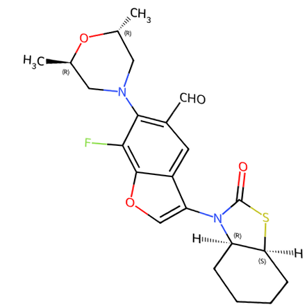 C[C@@H]1CN(c2c(C=O)cc3c(N4C(=O)S[C@H]5CCCC[C@H]54)coc3c2F)C[C@@H](C)O1